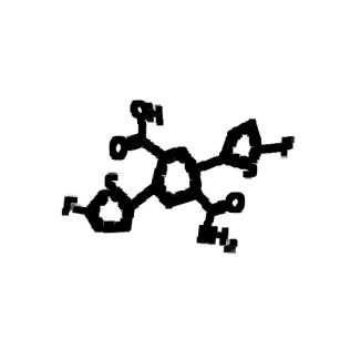 BC(=O)c1cc(-c2ccc(F)s2)c(C(=O)O)cc1-c1ccc(F)s1